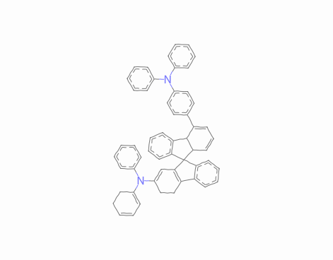 C1=CCCC(N(C2=CC3=C(CC2)c2ccccc2C32c3ccccc3C3C(c4ccc(N(c5ccccc5)c5ccccc5)cc4)=CC=CC32)c2ccccc2)=C1